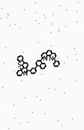 CC12C=CC=CC1N=C(c1cccc(-c3ccc(-c4ccc5ccc6ccc(-c7ccccc7)nc6c5n4)c4ccccc34)c1)c1ccc3c(sc4ccccc43)c12